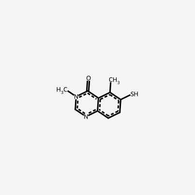 Cc1c(S)ccc2ncn(C)c(=O)c12